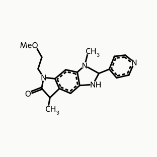 COCCN1C(=O)C(C)c2cc3c(cc21)N(C)C(c1ccncc1)N3